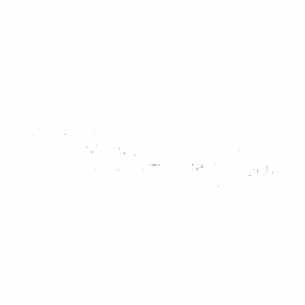 CC(C)(C)C(=O)ON1CCN(c2ccc(C(=O)Nc3ccc(C#N)cc3)cc2)CC1